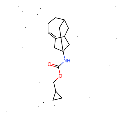 O=C(NC12CC3=CCCC(CC3C1)C2)OCC1CC1